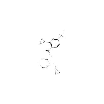 O=C(N[C@H]1COCC[C@H]1NC1CC1)c1ccc(C(F)(F)F)cc1C1CC1